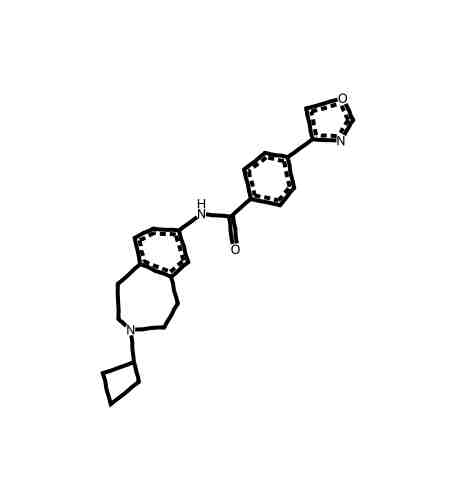 O=C(Nc1ccc2c(c1)CCN(C1CCC1)CC2)c1ccc(-c2cocn2)cc1